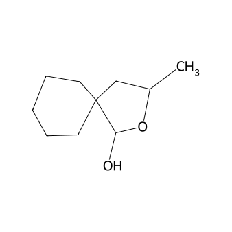 CC1CC2(CCCCC2)C(O)O1